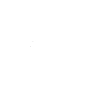 CCCCC(C)CCCCCCCCCCC=C(C)C(=O)O